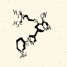 CC(=O)N1CCC[C@H](n2cc(-c3cc(SCCN(C)C)c4c(C#N)cnn4c3)cn2)C1